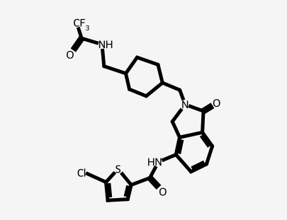 O=C(Nc1cccc2c1CN(CC1CCC(CNC(=O)C(F)(F)F)CC1)C2=O)c1ccc(Cl)s1